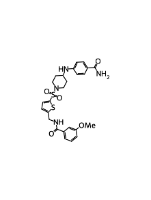 COc1cccc(C(=O)NCc2ccc(S(=O)(=O)N3CCC(Nc4ccc(C(N)=O)cc4)CC3)s2)c1